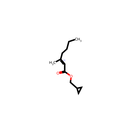 CCCC/C(C)=C/C(=O)OCC1CC1